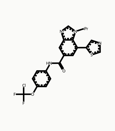 CC(C)n1cnc2cc(C(=O)Nc3ccc(OC(F)(F)Cl)cc3)cc(-c3cncs3)c21